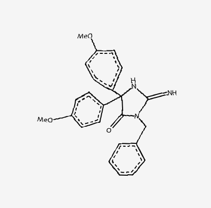 COc1ccc(C2(c3ccc(OC)cc3)NC(=N)N(Cc3ccccc3)C2=O)cc1